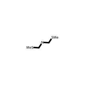 CSC[N]CSC